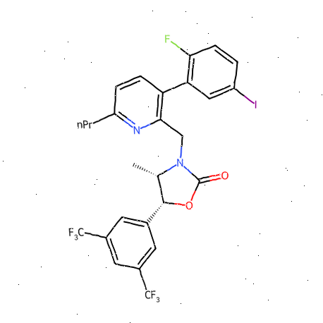 CCCc1ccc(-c2cc(I)ccc2F)c(CN2C(=O)O[C@H](c3cc(C(F)(F)F)cc(C(F)(F)F)c3)[C@@H]2C)n1